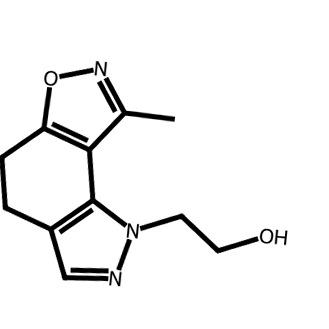 Cc1noc2c1-c1c(cnn1CCO)CC2